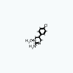 CN1CC(c2ccc(Cl)cc2)CN=C1N